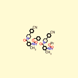 Cc1ccc(C(=O)N2CCC(c3ccc(C#N)cc3)CC2)cc1NC(=O)OC(C)C.Cc1ccc(C(=O)N2CCC(c3ccc(C#N)cc3)CC2)cc1NC(=O)OCc1ccccc1